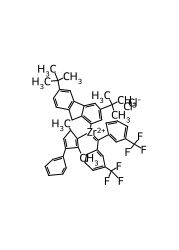 CC1=[C]([Zr+2](=[C](c2cccc(C(F)(F)F)c2)c2cccc(C(F)(F)F)c2)[c]2cc(C(C)(C)C)cc3c2Cc2ccc(C(C)(C)C)cc2-3)C(C)C=C1c1ccccc1.[Cl-].[Cl-]